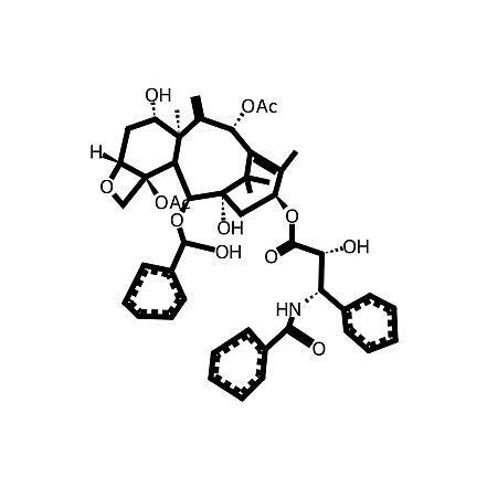 C=C1[C@H](OC(C)=O)C2=C(C)[C@@H](OC(=O)[C@H](O)[C@@H](NC(=O)c3ccccc3)c3ccccc3)C[C@@](O)([C@@H](OC(O)c3ccccc3)C3[C@@]1(C)[C@@H](O)C[C@H]1OC[C@@]31OC(C)=O)C2(C)C